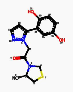 N#C[C@@H]1CSCN1C(=O)Cn1nccc1-c1cc(O)ccc1O